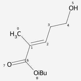 CC(=CCCO)C(=O)OCC(C)C